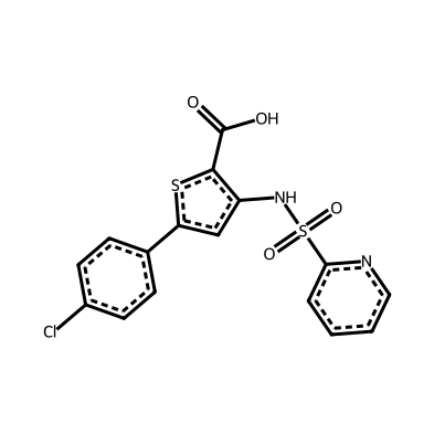 O=C(O)c1sc(-c2ccc(Cl)cc2)cc1NS(=O)(=O)c1ccccn1